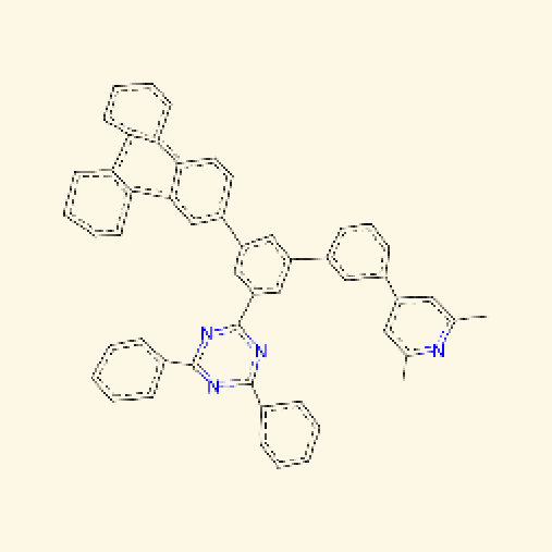 Cc1cc(-c2cccc(-c3cc(-c4ccc5c6ccccc6c6ccccc6c5c4)cc(-c4nc(-c5ccccc5)nc(-c5ccccc5)n4)c3)c2)cc(C)n1